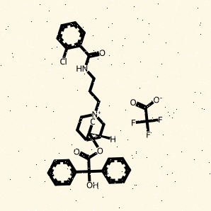 O=C(NCCC[N+]12CCC(CC1)[C@@H](OC(=O)C(O)(c1ccccc1)c1ccccc1)C2)c1ccccc1Cl.O=C([O-])C(F)(F)F